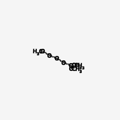 CCC(C)(C)C(=O)OCCCCOCCCCOCCCCOCCCCOC